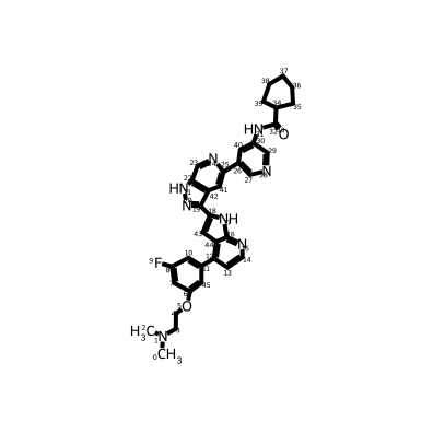 CN(C)CCOc1cc(F)cc(-c2ccnc3[nH]c(-c4n[nH]c5cnc(-c6cncc(NC(=O)C7CCCCC7)c6)cc45)cc23)c1